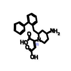 NC1CCN(/C(=C/C(=O)O)C(=O)O)C(Cc2ccccc2-c2ccccc2)C1